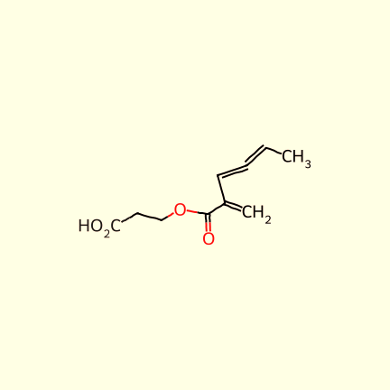 C=C(C=C=CC)C(=O)OCCC(=O)O